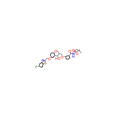 CS(=O)(=O)NC(=O)c1cccc(OCC2COc3ccc(OCc4nc5cc(F)ccc5s4)cc3C2O)c1